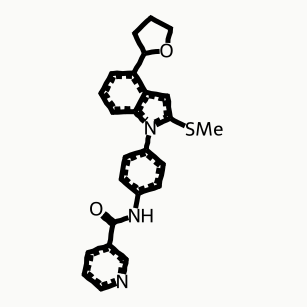 CSc1cc2c(C3CCCO3)cccc2n1-c1ccc(NC(=O)c2cccnc2)cc1